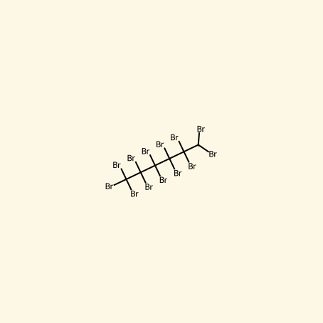 Br[C](Br)C(Br)(Br)C(Br)(Br)C(Br)(Br)C(Br)(Br)C(Br)(Br)Br